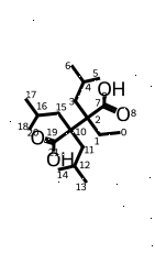 CCC(CC(C)C)(C(=O)O)C(CC(C)C)(CC(C)C)C(=O)O